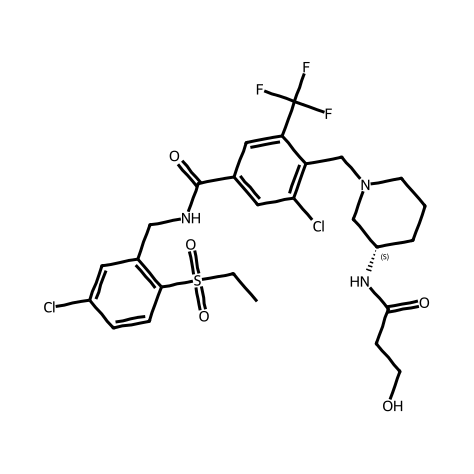 CCS(=O)(=O)c1ccc(Cl)cc1CNC(=O)c1cc(Cl)c(CN2CCC[C@H](NC(=O)CCO)C2)c(C(F)(F)F)c1